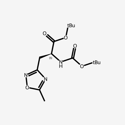 Cc1nc(C[C@H](NC(=O)OC(C)(C)C)C(=O)OC(C)(C)C)no1